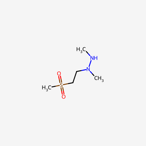 CNN(C)CCS(C)(=O)=O